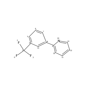 FC(F)(F)c1cccc(-c2ccccn2)c1